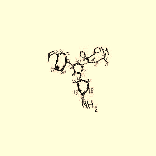 CC(C)CC(C(=O)O)c1cc(-c2ccc(N)cc2)cc(-c2ccc(F)cc2)c1